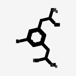 CC(O)Cc1cc(Br)cc(CC(C)O)c1